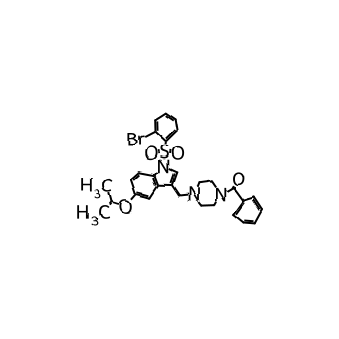 CC(C)Oc1ccc2c(c1)c(CN1CCN(C(=O)c3ccccc3)CC1)cn2S(=O)(=O)c1ccccc1Br